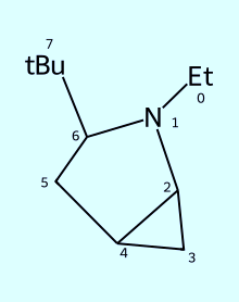 CCN1C2CC2CC1C(C)(C)C